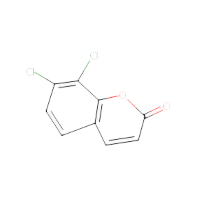 O=c1ccc2ccc(Cl)c(Cl)c2o1